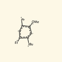 CCc1cc(C(C)C)c(OC)cc1C(C)(C)C